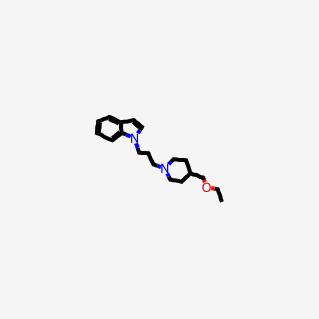 CCOCC1CCN(CCCn2ccc3ccccc32)CC1